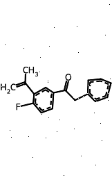 C=C(C)c1cc(C(=O)Cc2ccccc2)ccc1F